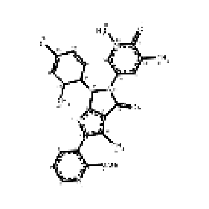 COc1ncccc1-n1nc2c(c1C)C(=O)N(c1cc(C)c(=O)n(C)c1)[C@@H]2C1C=CC(Cl)=CC1C